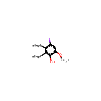 CCCCCCCc1c(I)cc(OC(=O)O)c(O)c1CCCCCCC